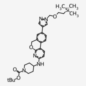 CC(C)(C)OC(=O)N1CCC(Nc2ccc3c(n2)OCc2cc(-c4cnn(COCC[Si](C)(C)C)c4)ccc2-3)CC1